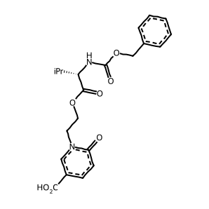 CC(C)[C@H](NC(=O)OCc1ccccc1)C(=O)OCCn1cc(C(=O)O)ccc1=O